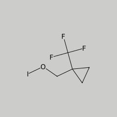 FC(F)(F)C1(COI)CC1